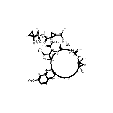 COc1ccc2nc3c(nc2c1)O[C@H]1CN(C(=O)[C@H](C(C)(C)C)NC(=O)O[C@@H]2C[C@H]2CCCCC3)[C@H](C(=O)N[C@]2(C(=O)NS(=O)(=O)C3(C)CC3)CC2C(F)F)[C@@H]1CC#N